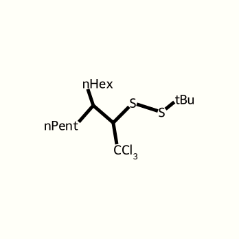 CCCCCCC(CCCCC)C(SSC(C)(C)C)C(Cl)(Cl)Cl